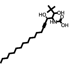 CCCCCCCCCCCCCC#C[C@@H](O)C(NC(=O)O)C(O)C(C)(C)C